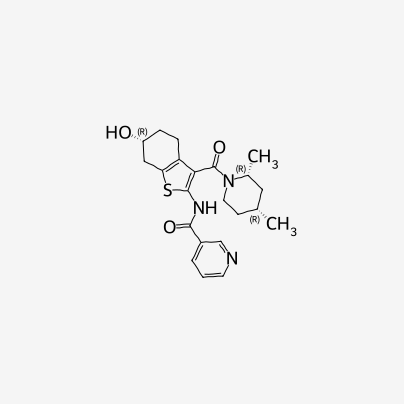 C[C@@H]1CCN(C(=O)c2c(NC(=O)c3cccnc3)sc3c2CC[C@@H](O)C3)[C@H](C)C1